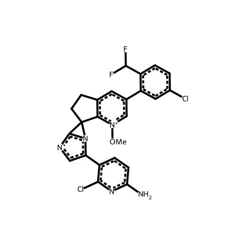 CO[n+]1cc(-c2cc(Cl)ccc2C(F)F)cc2c1C1(CC2)c2ncc(-c3ccc(N)nc3Cl)n21